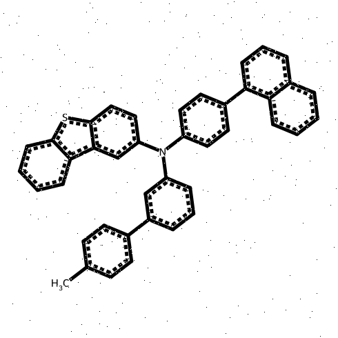 Cc1ccc(-c2cccc(N(c3ccc(-c4cccc5ccccc45)cc3)c3ccc4sc5ccccc5c4c3)c2)cc1